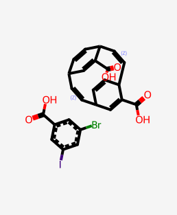 O=C(O)C1=CC2C=CC1/C=C\C1C=CC(C=C1C(=O)O)/C=C\2.O=C(O)c1cc(Br)cc(I)c1